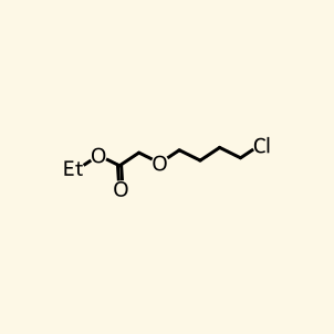 CCOC(=O)COCCCCCl